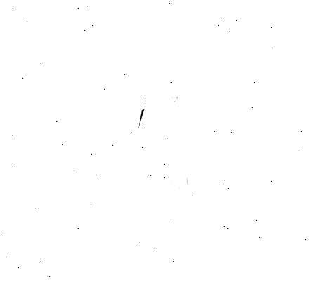 COC[C@@H]1C[C@H]1C(=O)O